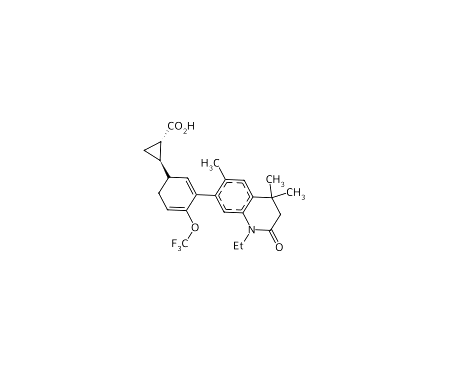 CCN1C(=O)CC(C)(C)c2cc(C)c(C3=CC([C@H]4C[C@@H]4C(=O)O)CC=C3OC(F)(F)F)cc21